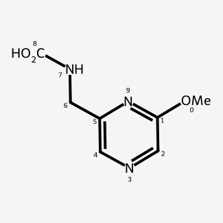 COc1cncc(CNC(=O)O)n1